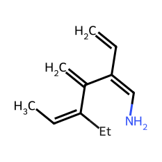 C=C/C(=C/N)C(=C)/C(=C\C)CC